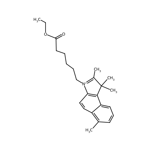 CCOC(=O)CCCCC[N+]1=C(C)C(C)(C)c2c1ccc1c(C)cccc21